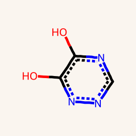 Oc1ncnnc1O